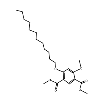 CCCCCCCCCCCCOc1cc(OC)c(C(=O)OC)cc1C(=O)OC